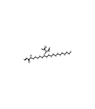 C=CC(=O)NCCCCCCCCCCCCCCCCCC.C=CN(C)C(C)=O